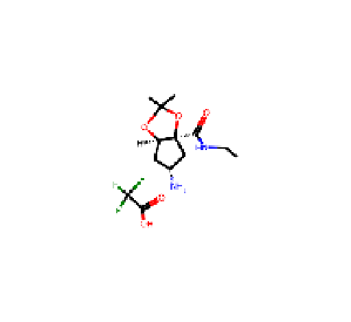 CCNC(=O)[C@]12C[C@H](N)C[C@H]1OC(C)(C)O2.O=C(O)C(F)(F)F